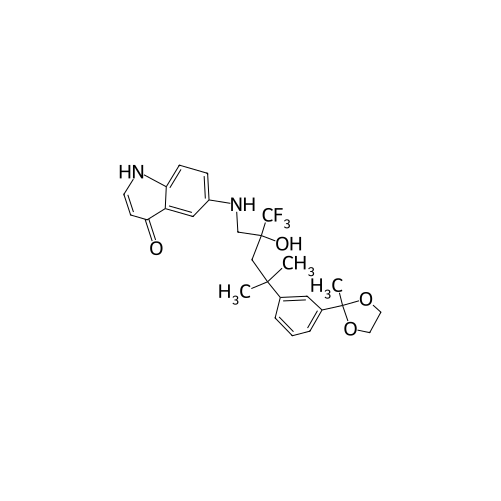 CC(C)(CC(O)(CNc1ccc2[nH]ccc(=O)c2c1)C(F)(F)F)c1cccc(C2(C)OCCO2)c1